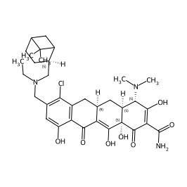 CCN(Cc1cc(O)c2c(c1Cl)C[C@H]1C[C@H]3[C@H](N(C)C)C(O)=C(C(N)=O)C(=O)[C@@]3(O)C(O)=C1C2=O)C[C@H]1CCC2CC1C2(C)C